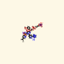 COc1ccccc1Oc1c(NS(=O)(=O)c2ccc(C(C)C)cn2)nc(-c2ccnc(-c3nnn[nH]3)c2)nc1OCCOC(=O)OCCCCO[N+](=O)[O-]